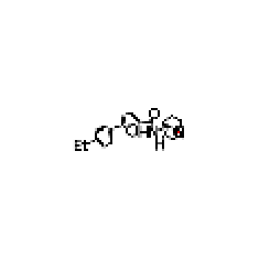 CCc1ccc(-c2ccc(C(=O)N[C@H]3CN4CCC3CC4)o2)cc1